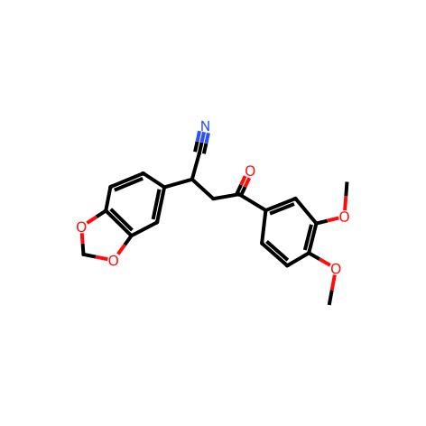 COc1ccc(C(=O)CC(C#N)c2ccc3c(c2)OCO3)cc1OC